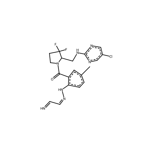 Cc1ccc(N/N=C\C=N)c(C(=O)N2CCC(F)(F)C2CNc2ncc(Cl)cn2)c1